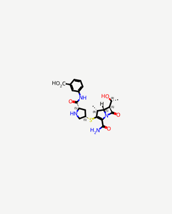 C[C@@H](O)[C@H]1C(=O)N2C(C(N)=O)=C(S[C@@H]3CN[C@H](C(=O)Nc4cccc(C(=O)O)c4)C3)[C@H](C)[C@H]12